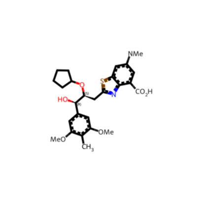 CNc1cc(C(=O)O)c2nc(C[C@H](OC3CCCC3)[C@H](O)c3cc(OC)c(C)c(OC)c3)sc2c1